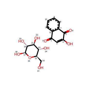 O=C1C=C(O)C(=O)c2ccccc21.OC[C@H]1O[C@@H](O)[C@H](O)[C@@H](O)[C@@H]1O